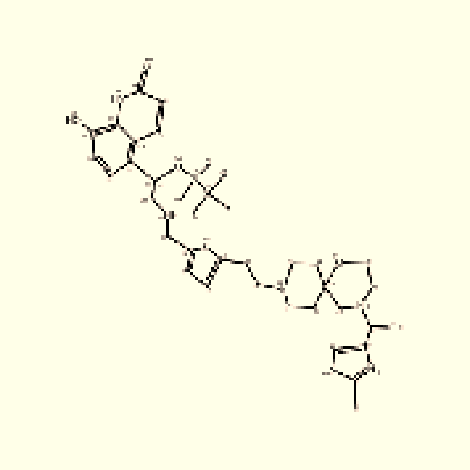 Cc1nc(C(=O)N2CCOC3(CCN(CCc4ccc(CNC[C@H](O[Si](C)(C)C(C)(C)C)c5ccc(O)c6[nH]c(=O)ccc56)s4)CC3)C2)cs1